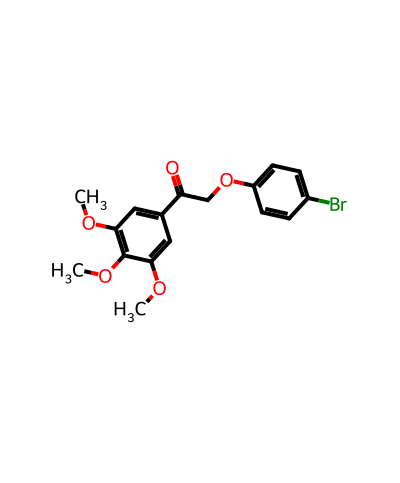 COc1cc(C(=O)COc2ccc(Br)cc2)cc(OC)c1OC